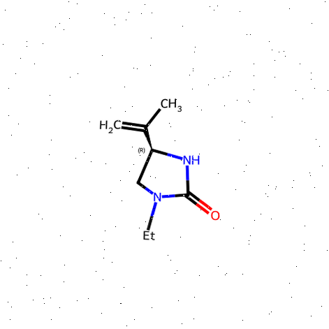 C=C(C)[C@@H]1CN(CC)C(=O)N1